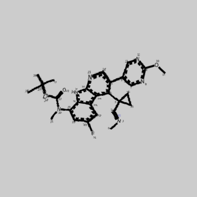 C/N=C/C1(c2c(-c3cnc(OC)nc3)cnc3[nH]c4c(N(C)C(=O)OC(C)(C)C)cc(F)cc4c23)CC1